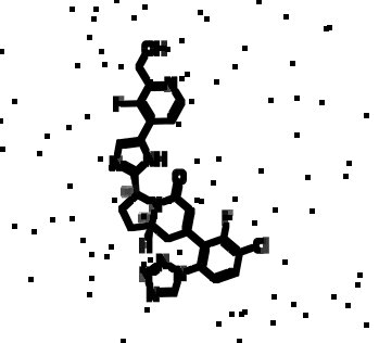 O=C1C=C(c2c(-n3cnnn3)ccc(Cl)c2F)C[C@@H]2CC[C@@H](c3ncc(-c4ccnc(CO)c4F)[nH]3)N12